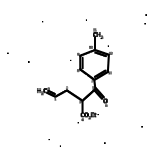 C=CCC(C(=O)OCC)C(=O)c1ccc(C)cc1